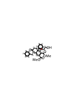 COC(=O)C1=C(C(=O)OC)C(NCCO)[C@@]2(c3ccccc3)CCC(=O)N(Cc3ccccc3)C2=N1